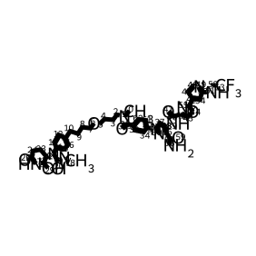 CN(CCCCOCCCCc1ccc2c(c1)n(C)c(=O)n2C1CCC(=O)NC1O)C(=O)c1ccc(-n2cc(NC(=O)c3coc(-c4ccnc(NCC(F)(F)F)c4)n3)c(C(N)=O)n2)cc1